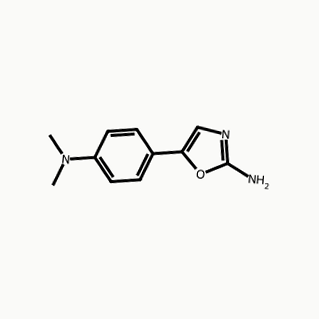 CN(C)c1ccc(-c2cnc(N)o2)cc1